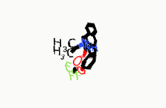 CC(C)N1C(=O)NC23C1=CC1CC2(CCc2ccccc21)Cc1ccc(OCC(F)(F)F)cc13